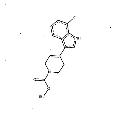 CC(C)(C)OC(=O)N1CC=C(c2c[nH]c3c(Cl)cccc23)CC1